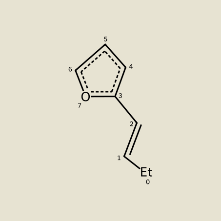 CC/C=C/c1ccco1